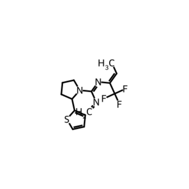 C=N/C(=N\C(=C/C)C(F)(F)F)N1CCCC1c1cccs1